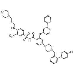 O=C(NS(=O)(=O)c1ccc(NCCCN2CCOCC2)c([N+](=O)[O-])c1)c1ccc(N2CCN(Cc3ccccc3-c3ccc(Cl)cc3)CC2)cc1Oc1cccc(-c2ccncc2)c1